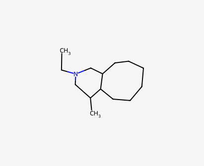 CCN1CC(C)C2CCCCCCC2C1